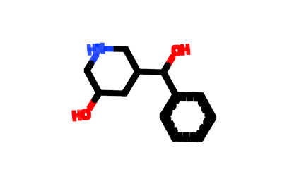 OC1CNCC(C(O)c2ccccc2)C1